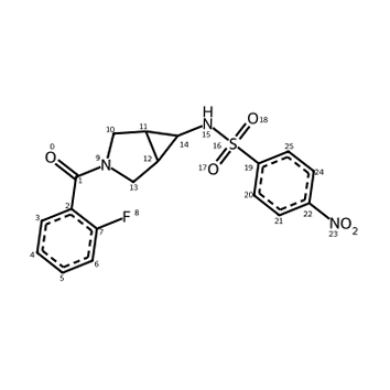 O=C(c1ccccc1F)N1CC2C(C1)C2NS(=O)(=O)c1ccc([N+](=O)[O-])cc1